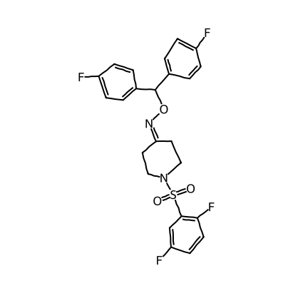 O=S(=O)(c1cc(F)ccc1F)N1CCC(=NOC(c2ccc(F)cc2)c2ccc(F)cc2)CC1